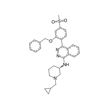 CS(=O)(=O)c1ccc(-c2nnc(N[C@@H]3CCCN(CC4CC4)C3)c3ccccc23)c(OCc2ccccc2)c1